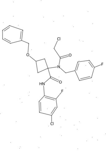 O=C(CCl)N(Cc1ccc(F)cc1)C1(C(=O)Nc2ccc(Cl)cc2F)CC(OCc2ccccc2)C1